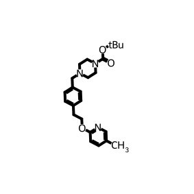 Cc1ccc(OCCc2ccc(CN3CCN(C(=O)OC(C)(C)C)CC3)cc2)nc1